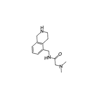 CN(C)CC(=O)NCc1cccc2c1CCNC2